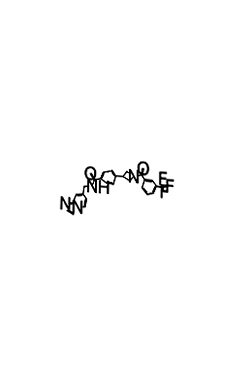 O=C(NCc1ccn2ccnc2c1)c1ccc(C2CN(C(=O)c3cccc(C(F)(F)F)c3)C2)cc1